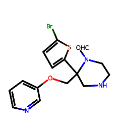 O=CN1CCNCC1(COc1cccnc1)c1ccc(Br)s1